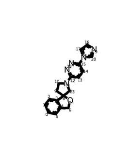 c1ccc2c(c1)COC21CCN(c2ccc(-n3ccnc3)nn2)C1